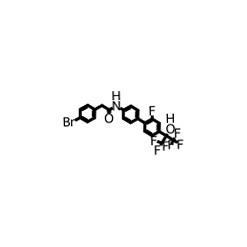 O=C(Cc1ccc(Br)cc1)Nc1ccc(-c2ccc(C(O)(C(F)(F)F)C(F)(F)F)cc2F)cc1